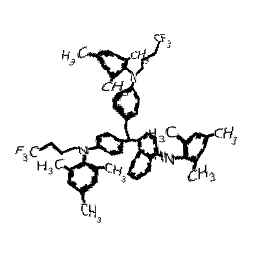 Cc1cc(C)c(Nc2ccc(C(c3ccc(N(CCCC(F)(F)F)c4c(C)cc(C)cc4C)cc3)c3ccc(N(CCCC(F)(F)F)c4c(C)cc(C)cc4C)cc3)c3ccccc23)c(C)c1